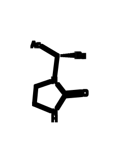 CCC(C)[C@@H](C(C)=O)N1CCNC1=O